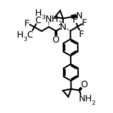 CC(C)(F)C[C@H](N)C(=O)N([C@@H](c1ccc(-c2ccc(C3(C(N)=O)CC3)cc2)cc1)C(F)(F)F)C1(C#N)CC1